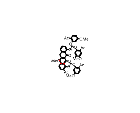 COc1ccc(C(C)=O)c(OP(Oc2cc(OC)ccc2C(C)=O)Oc2cccc3c2C(=O)c2c(cccc2OP(Oc2cc(OC)ccc2C(C)=O)Oc2cc(OC)ccc2C(C)=O)C3)c1